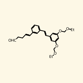 CCOCOc1cc(C=Cc2cccc(C=CCCC=O)c2)cc(OCOCC)c1